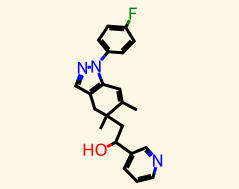 CC1=Cc2c(cnn2-c2ccc(F)cc2)CC1(C)CC(O)c1cccnc1